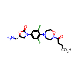 NC[C@H]1CN(c2cc(F)c(N3CCON(C(=O)CCC(=O)O)CC3)c(F)c2)C(=O)O1